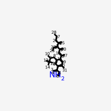 C=C/C(=C\N)c1cc(CC(C)C(C)(C)C)c(/C(C)=C/C(=C)/C(=C\C)C(=C)CCC)cc1C